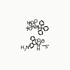 CC(C)(C)OC(=O)N[C@@H](CSC(c1ccccc1)(c1ccccc1)c1ccccc1)C(=O)O.COC(=O)[C@H](CCSC)NC(=O)c1ccc(N)cc1-c1ccccc1